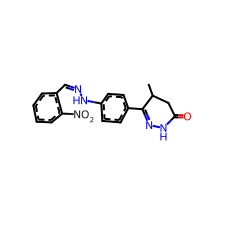 CC1CC(=O)NN=C1c1ccc(N/N=C\c2ccccc2[N+](=O)[O-])cc1